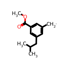 [CH2]c1cc(CC(C)C)cc(C(=O)OC)c1